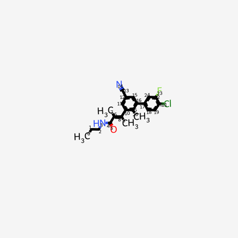 CCCNC(=O)/C(C)=C(\C)c1cc(C#N)cc(-c2ccc(Cl)c(F)c2)c1C